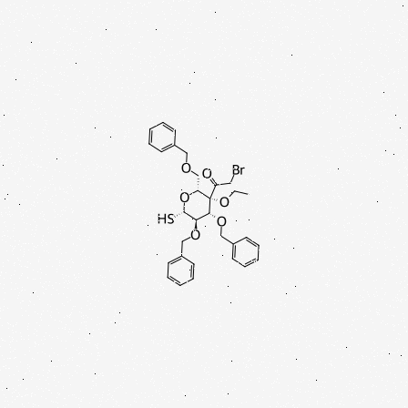 CCO[C@]1(C(=O)CBr)[C@H](OCc2ccccc2)[C@@H](OCc2ccccc2)[C@H](S)O[C@@H]1COCc1ccccc1